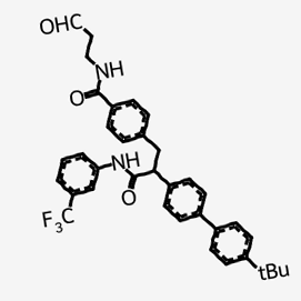 CC(C)(C)c1ccc(-c2ccc(C(Cc3ccc(C(=O)NCCC=O)cc3)C(=O)Nc3cccc(C(F)(F)F)c3)cc2)cc1